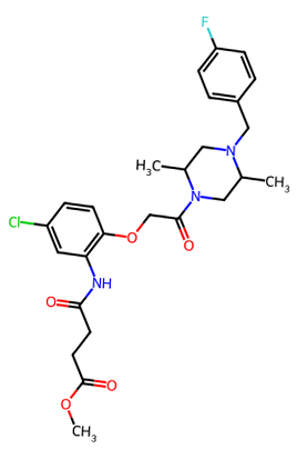 COC(=O)CCC(=O)Nc1cc(Cl)ccc1OCC(=O)N1CC(C)N(Cc2ccc(F)cc2)CC1C